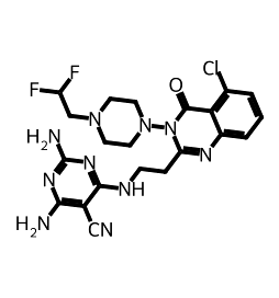 N#Cc1c(N)nc(N)nc1NCCc1nc2cccc(Cl)c2c(=O)n1N1CCN(CC(F)F)CC1